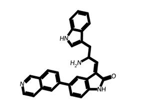 NC(/C=C1/C(=O)Nc2ccc(-c3ccc4cnccc4c3)cc21)Cc1c[nH]c2ccccc12